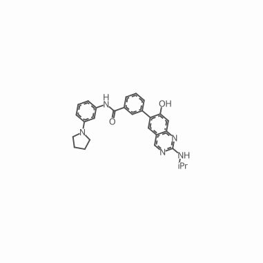 CC(C)Nc1ncc2cc(-c3cccc(C(=O)Nc4cccc(N5CCCC5)c4)c3)c(O)cc2n1